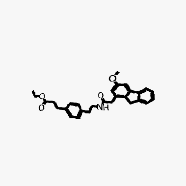 CCOC(=O)CCc1ccc(CCNC(=O)Cc2cc(OC)cc3c2Cc2ccccc2-3)cc1